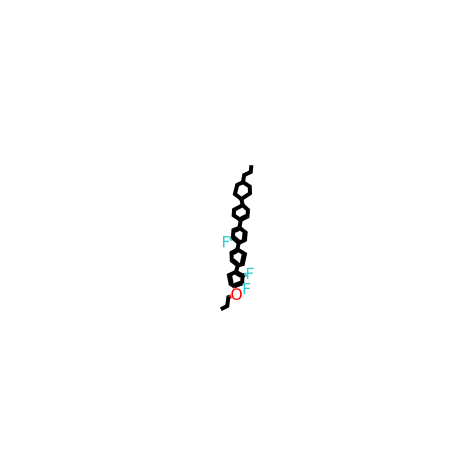 CCCOc1ccc(-c2ccc(-c3ccc(C4=CCC(C5CCC(CCC)CC5)CC4)cc3F)cc2)c(F)c1F